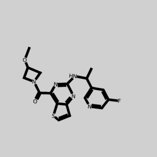 COC1CN(C(=O)c2nc(NC(C)c3cncc(F)c3)nc3ccsc23)C1